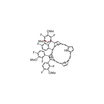 COc1c(F)ccc(C2=Cc3cc4ccc(cc5nc(cc6[nH]c(c(-c7ccc(F)c(OC)c7F)c2n3)c(-c2ccc(F)c(OC)c2F)c6-c2ccc(F)c(OC)c2F)C=C5)[nH]4)c1F